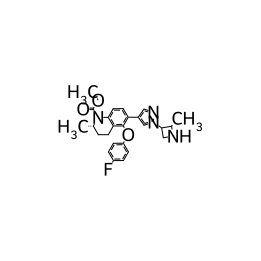 COC(=O)N1c2ccc(-c3cnn(C4CN[C@H]4C)c3)c(Oc3ccc(F)cc3)c2CC[C@@H]1C